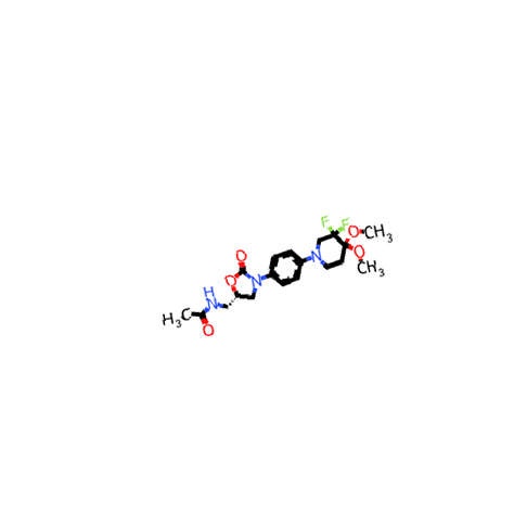 COC1(OC)CCN(c2ccc(N3C[C@H](CNC(C)=O)OC3=O)cc2)CC1(F)F